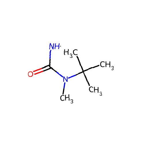 CN(C([NH])=O)C(C)(C)C